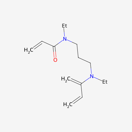 C=CC(=C)N(CC)CCCN(CC)C(=O)C=C